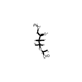 CC(C)OCC(=O)C(C)(C)C(C)(C)OC(C)C=O